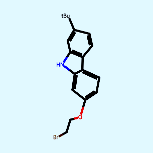 CC(C)(C)c1ccc2c(c1)[nH]c1cc(OCCBr)ccc12